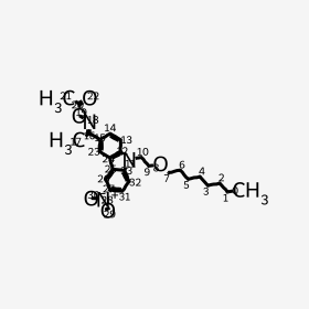 CCCCCCCCOCCn1c2ccc(/C(C)=N/OC(C)=O)cc2c2cc([N+](=O)[O-])ccc21